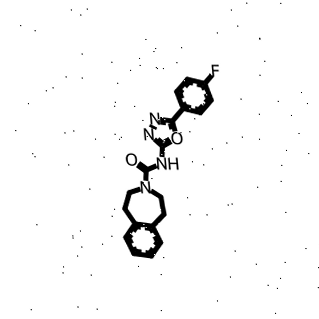 O=C(Nc1nnc(-c2ccc(F)cc2)o1)N1CCc2ccccc2CC1